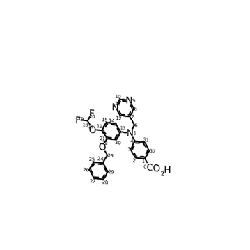 O=C(O)c1ccc(N(Cc2cncnc2)c2ccc(OC(F)F)c(OCc3ccccc3)c2)cc1